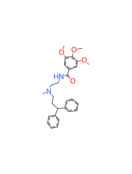 COc1cc(C(=O)NCCN(C)CCC(c2ccccc2)c2ccccc2)cc(OC)c1OC